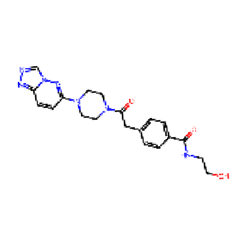 O=C(NCCO)c1ccc(CC(=O)N2CCN(c3ccc4nncn4n3)CC2)cc1